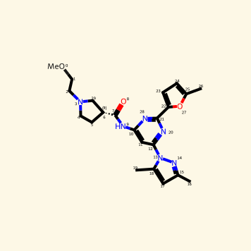 COCCN1CC[C@@H](C(=O)Nc2cc(-n3nc(C)cc3C)nc(-c3ccc(C)o3)n2)C1